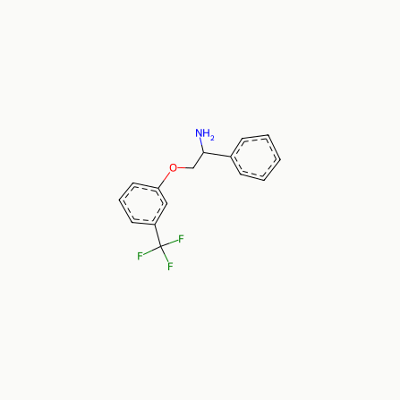 NC(COc1cccc(C(F)(F)F)c1)c1ccccc1